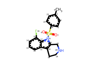 Cc1ccc(S(=O)(=O)n2c3c(c4cccc(F)c42)CCNC3)cc1